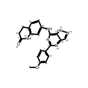 COc1ccc(-c2nc(Nc3ccc4c(c3)NC(=O)CC4)c3[nH]ncc3n2)cc1